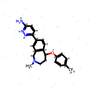 CN1CCC(Oc2ccc(C(F)(F)F)cc2)c2ccc(-c3ccc(N)nn3)cc2C1